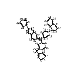 CC1(C)c2ccccc2-c2ccc(N(c3ccc(-c4cccc5ccccc45)cc3)c3ccc4nc(-c5ccccc5)oc4c3)cc21